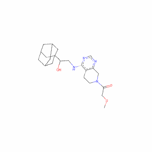 COCC(=O)N1CCc2c(ncnc2NCC(O)C23CC4CC(CC(C4)C2)C3)C1